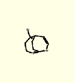 Br/C1=C2\C=CN/C(=N/CC1)CC2